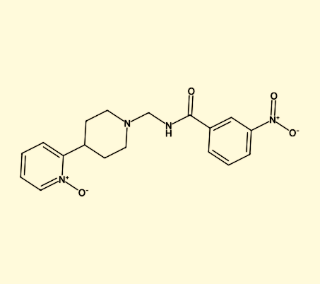 O=C(NCN1CCC(c2cccc[n+]2[O-])CC1)c1cccc([N+](=O)[O-])c1